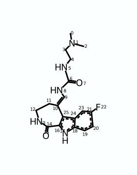 CN(C)CCNC(=O)NC=C1CCNC(=O)c2[nH]c3ccc(F)cc3c21